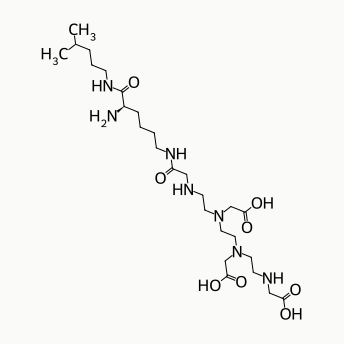 CC(C)CCCNC(=O)[C@H](N)CCCCNC(=O)CNCCN(CCN(CCNCC(=O)O)CC(=O)O)CC(=O)O